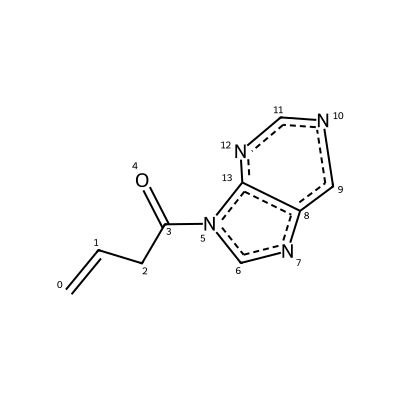 C=CCC(=O)n1cnc2cncnc21